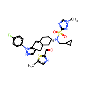 Cn1cnc(S(=O)(=O)N(CC2CC2)[C@H]2CCC3=Cc4c(cnn4-c4ccc(F)cc4)C[C@]3(C(=O)c3ncc(C(F)(F)F)s3)C2)n1